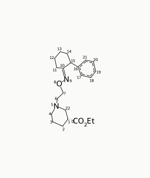 CCOC(=O)[C@@H]1CCCN(CCO/N=C2\CCCCC2c2ccccc2)C1